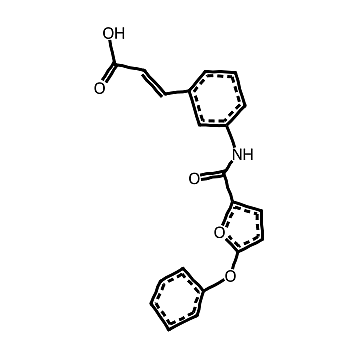 O=C(O)C=Cc1cccc(NC(=O)c2ccc(Oc3ccccc3)o2)c1